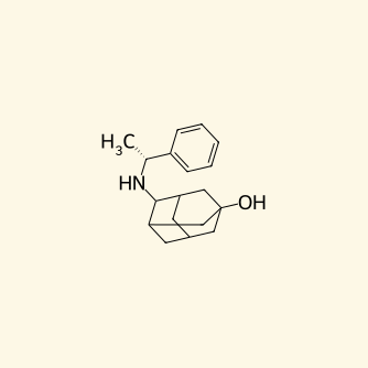 C[C@@H](NC1C2CC3CC1CC(O)(C3)C2)c1ccccc1